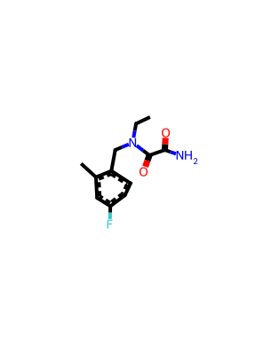 CCN(Cc1ccc(F)cc1C)C(=O)C(N)=O